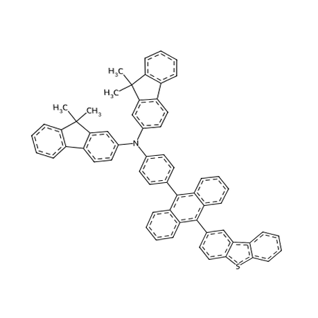 CC1(C)c2ccccc2-c2ccc(N(c3ccc(-c4c5ccccc5c(-c5ccc6sc7ccccc7c6c5)c5ccccc45)cc3)c3ccc4c(c3)C(C)(C)c3ccccc3-4)cc21